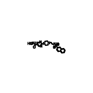 O=C(NO)c1cnc(N2CCN(CCNS(=O)(=O)c3ccc4ccccc4c3)CC2)nc1